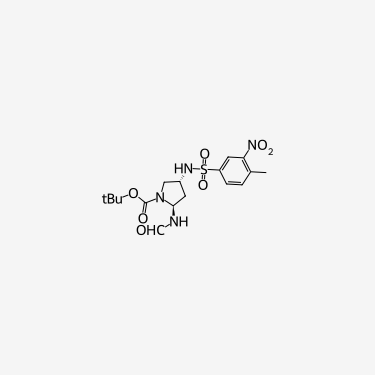 Cc1ccc(S(=O)(=O)N[C@@H]2C[C@@H](NC=O)N(C(=O)OC(C)(C)C)C2)cc1[N+](=O)[O-]